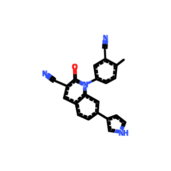 Cc1ccc(-n2c(=O)c(C#N)cc3ccc(-c4cc[nH]c4)cc32)cc1C#N